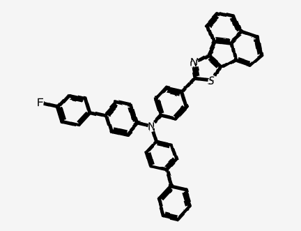 Fc1ccc(-c2ccc(N(c3ccc(-c4ccccc4)cc3)c3ccc(-c4nc5c(s4)-c4cccc6cccc-5c46)cc3)cc2)cc1